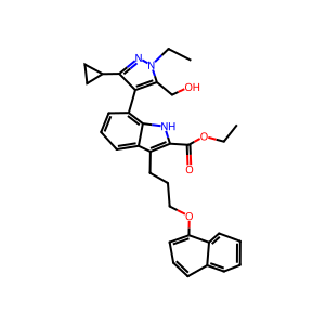 CCOC(=O)c1[nH]c2c(-c3c(C4CC4)nn(CC)c3CO)cccc2c1CCCOc1cccc2ccccc12